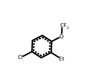 CCc1cc(Cl)ccc1OC(F)(F)F